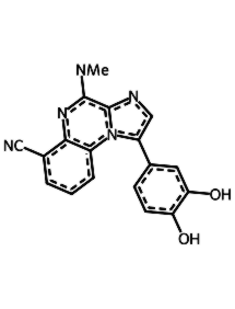 CNc1nc2c(C#N)cccc2n2c(-c3ccc(O)c(O)c3)cnc12